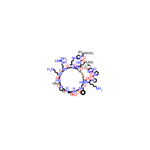 CCCCC1NC(=O)[C@H](CCCCN)NC(=O)[C@H](CCCNC(=N)N)NC(=O)[C@H](CCCCN)NC(=O)C(NC(=O)[C@H](CCSC)NC(=O)[C@@H]2CCCN2C(=O)[C@@H](NC(C)=O)C(C)C)CCSSC[C@@H](C(=O)NC(CCCCN)C(=O)N2CCC[C@H]2C(=O)N2CCC[C@H]2C(=O)N[C@@H](CCC(=O)O)C(N)=O)NC(=O)[C@H](Cc2ccccc2)NC(=O)[C@H](CO)NC(=O)C(C)(C)NC(=O)[C@@H]2CCCN2C1=O